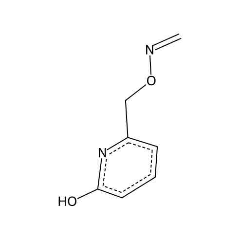 C=NOCc1cccc(O)n1